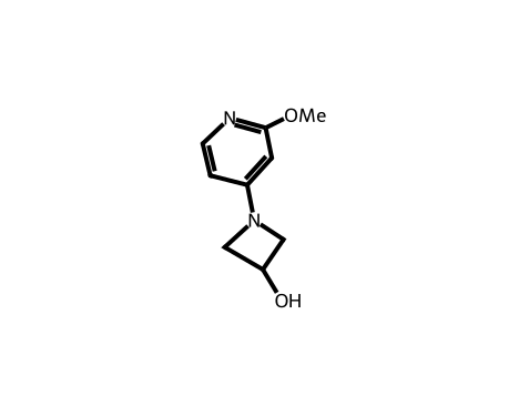 COc1cc(N2CC(O)C2)ccn1